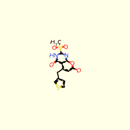 CS(=O)(=O)c1nc2oc(=O)cc(Cc3ccsc3)c2c(=O)[nH]1